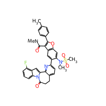 CNC(=O)c1c(-c2ccc(C)cc2)oc2cc(N(C)S(C)(=O)=O)c(-c3ccc4c(n3)-c3cc5c(F)cccc5n3C(=O)CC4)cc12